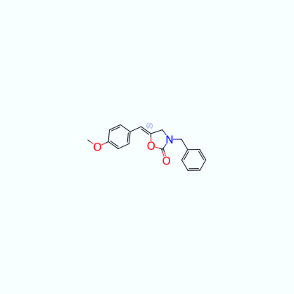 COc1ccc(/C=C2/CN(Cc3ccccc3)C(=O)O2)cc1